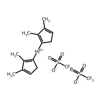 CC1=CC[C]([Hf+2][C]2=C(C)C(C)=CC2)=C1C.O=S(=O)([O-])C(F)(F)F.O=S(=O)([O-])C(F)(F)F